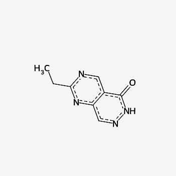 CCc1ncc2c(=O)[nH]ncc2n1